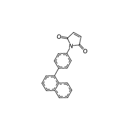 O=C1C=CC(=O)N1c1ccc(-c2cccc3ccccc23)cc1